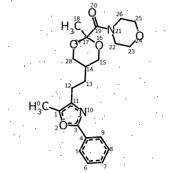 Cc1oc(-c2ccccc2)nc1CCC1COC(C)(C(=O)N2CCOCC2)OC1